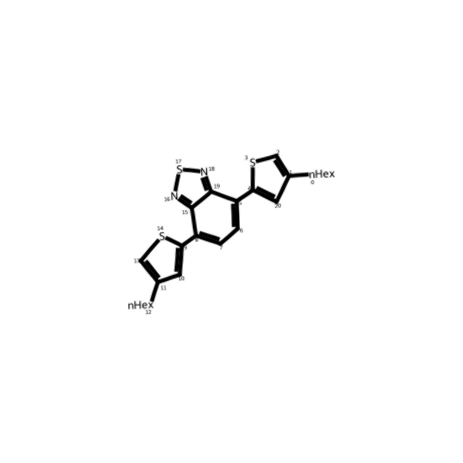 CCCCCCc1csc(-c2ccc(-c3cc(CCCCCC)cs3)c3nsnc23)c1